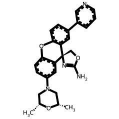 C[C@@H]1CN(c2ccc3c(c2)[C@]2(COC(N)=N2)c2cc(-c4cccnc4)ccc2O3)C[C@H](C)O1